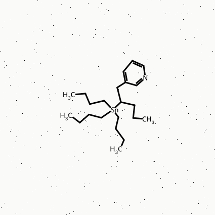 CCC[CH2][Sn]([CH2]CCC)([CH2]CCC)[CH](CCC)Cc1cccnc1